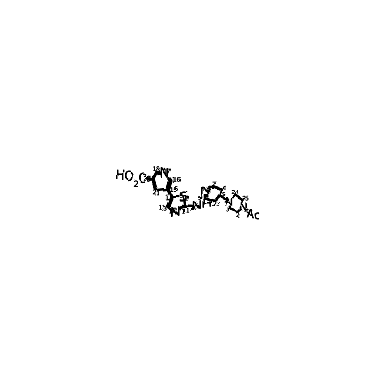 CC(=O)N1CCN(c2ccnc(Nc3ncc(-c4cncc(C(=O)O)c4)s3)c2)CC1